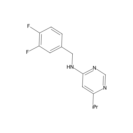 CC(C)c1cc(NCc2ccc(F)c(F)c2)ncn1